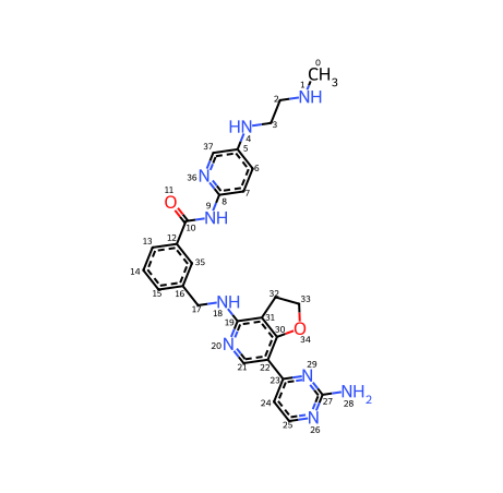 CNCCNc1ccc(NC(=O)c2cccc(CNc3ncc(-c4ccnc(N)n4)c4c3CCO4)c2)nc1